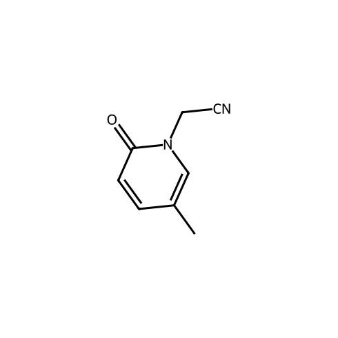 Cc1ccc(=O)n(CC#N)c1